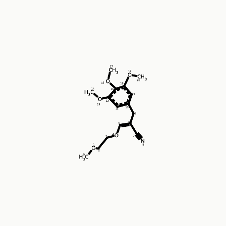 COCCOC=C(C#N)Cc1cc(OC)c(OC)c(OC)c1